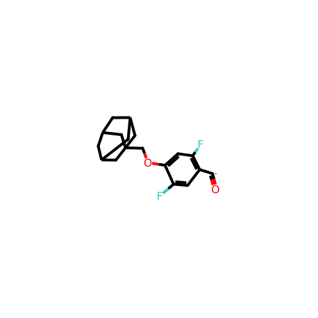 O=[C]c1cc(F)c(OCC23CC4CC(CC(C4)C2)C3)cc1F